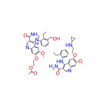 CCc1c(CO)cccc1Nc1c(C(N)=O)cnc2cc(OCCOC(C)=O)c(OC)cc12.CCc1ccccc1Nc1c(C(N)=O)cnc2cc(OC)c(OCCNC3CC3)cc12